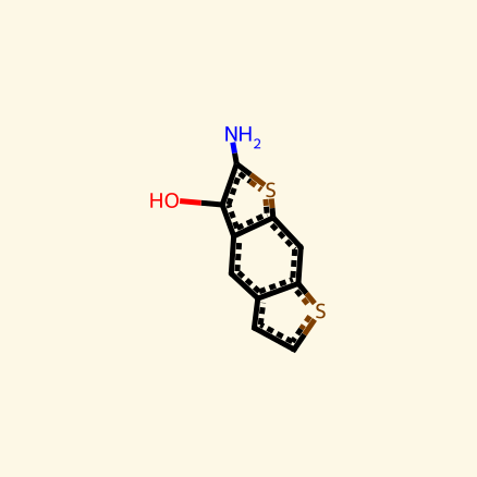 Nc1sc2cc3sccc3cc2c1O